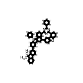 CC1(C)c2ccccc2-c2ccc(-c3ccc4c(c3)c3cc(-c5ccc6oc7cccc(-c8nc(-c9ccccc9)nc(-c9ccccc9)n8)c7c6c5)ccc3n4-c3ccccc3)cc21